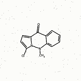 Cn1c2ccccc2c(=O)c2ccc(Cl)n21